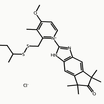 CCC(C)SSCc1c(C)c(OC)cc[n+]1-c1nc2cc3c(cc2[nH]1)C(C)(C)C(=O)C3(C)C.[Cl-]